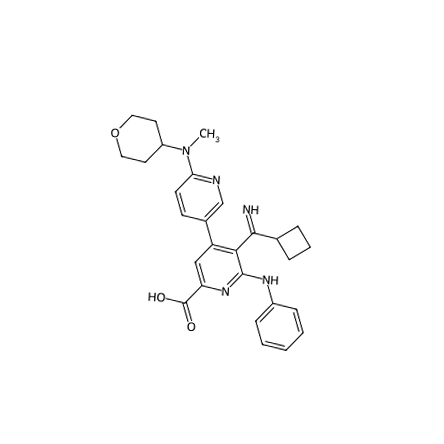 CN(c1ccc(-c2cc(C(=O)O)nc(Nc3ccccc3)c2C(=N)C2CCC2)cn1)C1CCOCC1